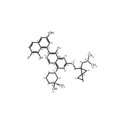 CCc1c(F)ccc2cc(O)cc(-c3ncc4c(N5CCC[C@@](C)(O)C5)nc(OCC5(CN(C)C)CC56CC6)nc4c3F)c12